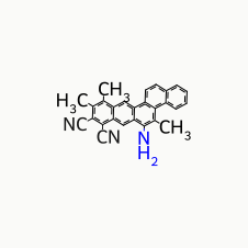 Cc1c(C#N)c(C#N)c2cc3c(N)c(C)c4c5ccccc5ccc4c3cc2c1C